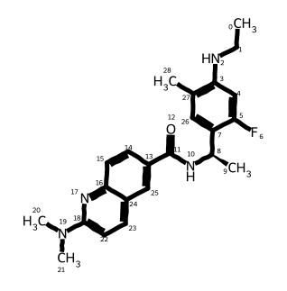 CCNc1cc(F)c([C@@H](C)NC(=O)c2ccc3nc(N(C)C)ccc3c2)cc1C